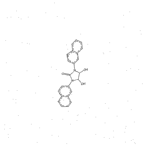 O=C1N(c2ccc3ccccc3c2)C(O)C(O)N1c1ccc2ccccc2c1